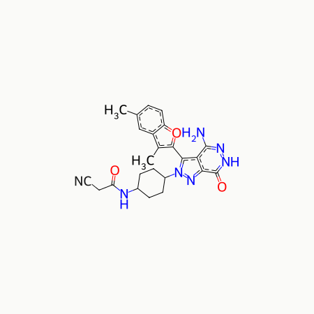 Cc1ccc2oc(-c3c4c(N)n[nH]c(=O)c4nn3C3CCC(NC(=O)CC#N)CC3)c(C)c2c1